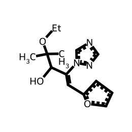 CCOC(C)(C)C(O)C(=Cc1ccco1)n1cncn1